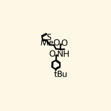 COC(=O)C(C)(CCCc1cccs1)NC(=O)c1ccc(C(C)(C)C)cc1